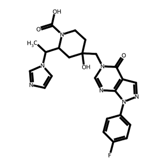 CC(C1CC(O)(Cn2cnc3c(cnn3-c3ccc(F)cc3)c2=O)CCN1C(=O)O)n1ccnc1